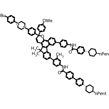 CCCCC[C@H]1CC[C@H](c2ccc(C(=O)Nc3ccc(-c4ccc5c6c(c7c(c5c4)-c4cc(-c5ccc(NC(=O)c8ccc(-c9ccc([C@H]%10CC[C@H](CCCCC)CC%10)cc9)cc8)cc5C)ccc4C7(C)C)C=CC(c4ccc(OC)cc4)(c4ccc(N5CCN(c7ccc(CCCC)cc7)CC5)cc4)O6)cc3)cc2)CC1